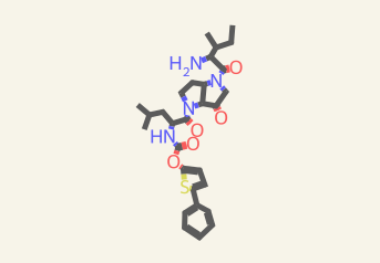 CCC(C)C(N)C(=O)N1CC(=O)C2C1CCN2C(=O)C(CC(C)C)NC(=O)Oc1ccc(-c2ccccc2)s1